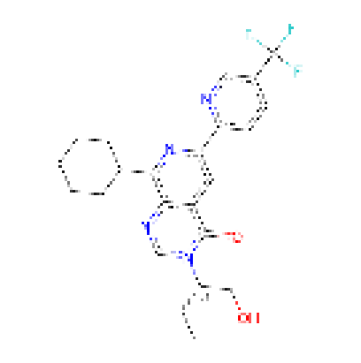 CC[C@@H](CO)n1cnc2c(C3CCCCC3)nc(-c3ccc(C(F)(F)F)cn3)cc2c1=O